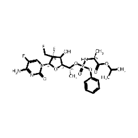 CC(C)OC(=O)[C@H](C)NP(=O)(Oc1ccccc1)O[C@H](C)[C@H]1O[C@@H](n2cc(F)c(N)nc2=O)[C@@](F)(CF)C1O